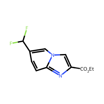 CCOC(=O)c1cn2cc(C(F)F)ccc2n1